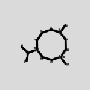 CC(C)N1CCCN(C)CCN(C)CC1